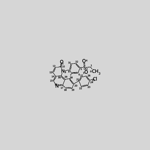 CCS(=O)(=O)c1ccc(-n2c(=O)ccc3cnc4ccc(-c5ccc(Cl)cc5)cc4c32)cc1